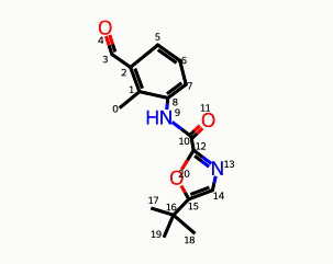 Cc1c(C=O)cccc1NC(=O)c1ncc(C(C)(C)C)o1